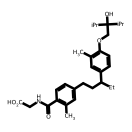 CCC(CCc1ccc(C(=O)NCC(=O)O)c(C)c1)c1ccc(OCC(O)(C(C)C)C(C)C)c(C)c1